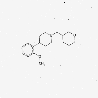 COc1ccccc1C1CCN(CC2CCCOC2)CC1